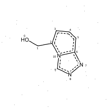 OCc1cccc2nncn12